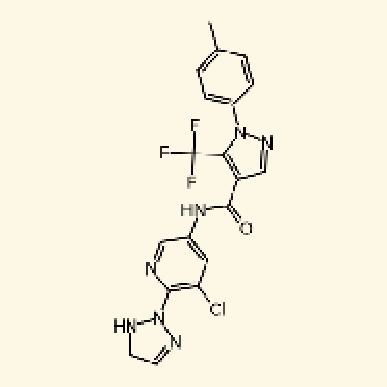 Cc1ccc(-n2ncc(C(=O)Nc3cnc(N4N=CCN4)c(Cl)c3)c2C(F)(F)F)cc1